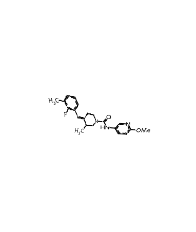 COc1ccc(NC(=O)N2CCC(=Cc3cccc(C)c3F)C(C)C2)cn1